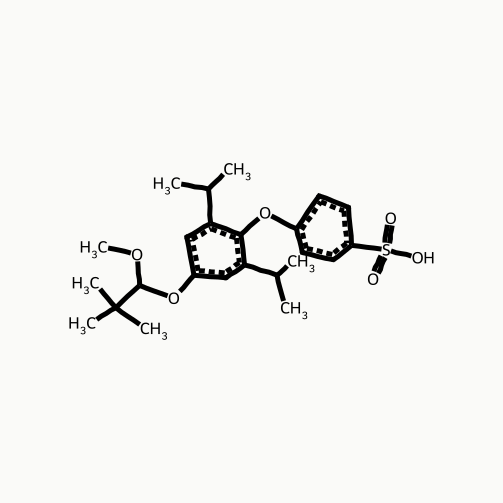 COC(Oc1cc(C(C)C)c(Oc2ccc(S(=O)(=O)O)cc2)c(C(C)C)c1)C(C)(C)C